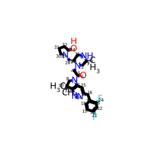 C[C@@H]1CN(CC(=O)N2CC(C)(C)c3nnc(Cc4ccc(F)cc4F)cc32)[C@@H](CN2CCCC2O)CN1